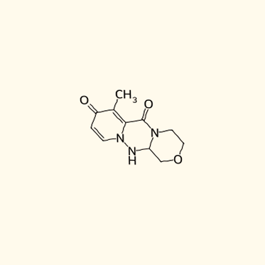 Cc1c2n(ccc1=O)NC1COCCN1C2=O